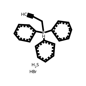 Br.C#CC[PH](c1ccccc1)(c1ccccc1)c1ccccc1.S